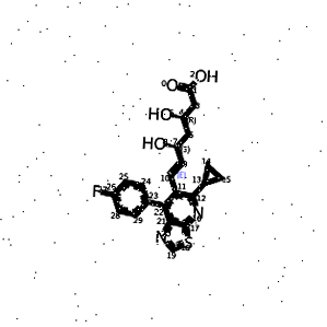 O=C(O)C[C@H](O)C[C@H](O)/C=C/c1c(C2CC2)nc2scnc2c1-c1ccc(F)cc1